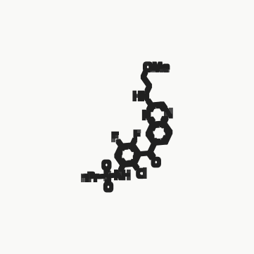 CCCS(=O)(=O)Nc1cc(F)c(F)c(C(=O)c2ccc3ncc(NCCOC)nc3c2)c1Cl